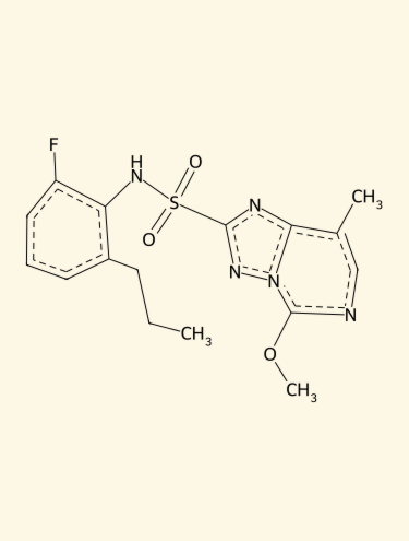 CCCc1cccc(F)c1NS(=O)(=O)c1nc2c(C)cnc(OC)n2n1